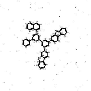 c1ccc(-c2nc(-c3cc(-c4ccc5c(c4)sc4ccccc45)cc(-c4ccc5c(c4)sc4ccccc45)c3)cc(-c3cccc4ccccc34)n2)cc1